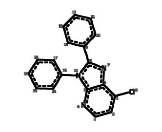 Clc1ccnc2c1nc(-c1ccccc1)n2-c1ccccc1